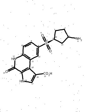 NC1CC[C@H](S(=O)(=O)c2ccc3[nH]c(=O)c4[nH]cc(C(=O)O)c4c3c2)C1